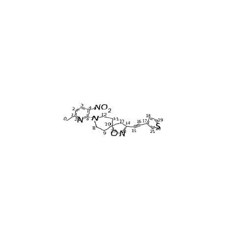 Cc1ccc([N+](=O)[O-])c(N2CCC3(CC2)CC(C#Cc2ccsc2)=NO3)n1